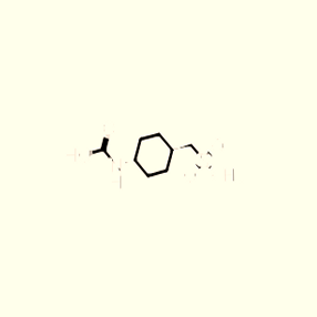 CS(=O)(=O)C[C@H]1CC[C@H](NC(=O)O)CC1